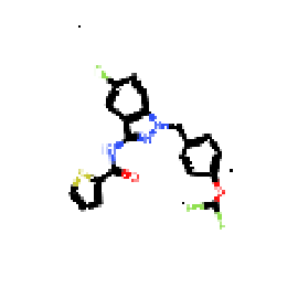 O=C(Nc1nn(Cc2ccc(OC(F)F)cc2)c2ccc(F)cc12)c1cccs1